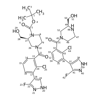 CC(C)(C)OC(=O)N1CCN(C(=O)c2cccc(-c3c[nH]nc3F)c2Cl)C[C@H]1CO.O=C(c1cccc(-c2c[nH]nc2F)c1Cl)N1CCN[C@H](CO)C1